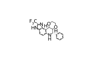 FC(F)(F)c1nc2c3c(ccc2[nH]1)N[C@@H](c1ccccc1)[C@@H]1OCCO[C@H]31